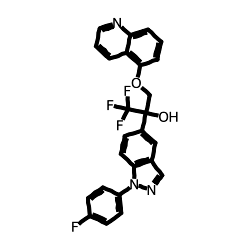 OC(COc1cccc2ncccc12)(c1ccc2c(cnn2-c2ccc(F)cc2)c1)C(F)(F)F